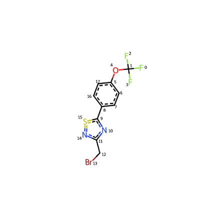 FC(F)(F)Oc1ccc(-c2nc(CBr)ns2)cc1